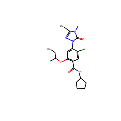 CC(C)CC(C)Oc1cc(-n2nc(C(C)C)n(C)c2=O)c(F)cc1C(=O)NC1CCCC1